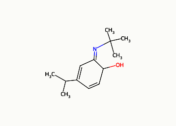 CC(C)C1=C/C(=N/C(C)(C)C)C(O)C=C1